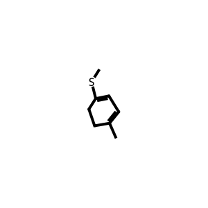 CSC1=CC=C(C)CC1